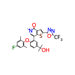 Cc1cc(F)cc(C)c1Oc1ccc(C(C)(C)O)cc1-c1cn(C)c(=O)c2cc(-c3nnc(C(F)(F)F)o3)sc12